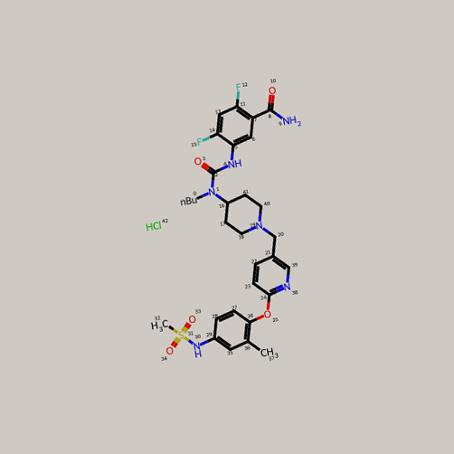 CCCCN(C(=O)Nc1cc(C(N)=O)c(F)cc1F)C1CCN(Cc2ccc(Oc3ccc(NS(C)(=O)=O)cc3C)nc2)CC1.Cl